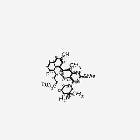 CCOC(=O)CCCc1c(F)ccc2cc(O)cc(-c3ncc4c(N5CCC[C@@](C)(N)C5)nc(SC)nc4c3C)c12